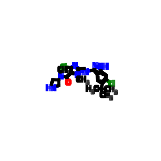 CN(C(=O)c1c(Cl)nc(CNc2n[nH]c3cc(Cl)c(C(C)(C)C)cc23)n1C)C1CCNC1